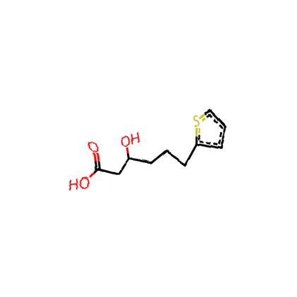 O=C(O)CC(O)CCCc1cccs1